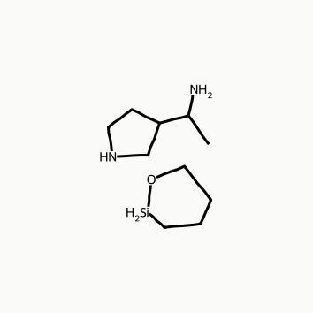 C1CC[SiH2]OC1.CC(N)C1CCNC1